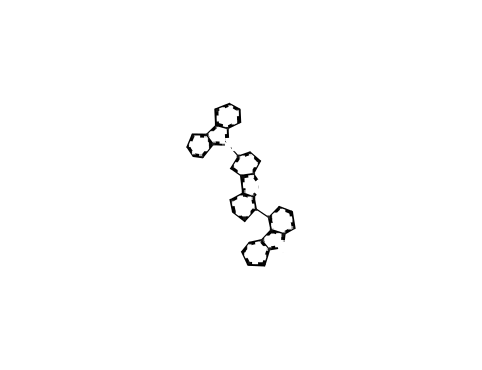 c1ccc2c(c1)sc1cccc(-c3cccc4c3oc3ccc(-n5c6ccccc6c6ccccc65)cc34)c12